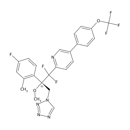 CO[C@](Cn1cnnn1)(c1ccc(F)cc1C)C(F)(F)c1ccc(-c2ccc(OC(F)(F)F)cc2)cn1